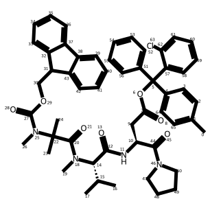 Cc1ccc(C(OC(=O)C[C@H](NC(=O)[C@H](C(C)C)N(C)C(=O)C(C)(C)N(C)C(=O)OCC2c3ccccc3-c3ccccc32)C(=O)N2CCCC2)(c2ccccc2)c2ccccc2Cl)cc1